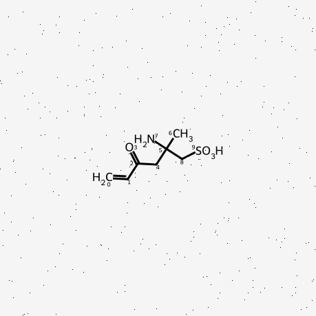 C=CC(=O)CC(C)(N)CS(=O)(=O)O